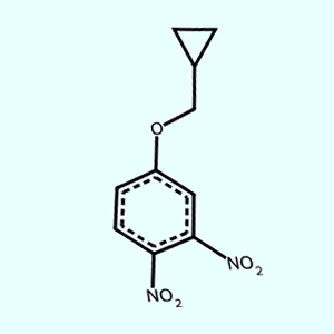 O=[N+]([O-])c1ccc(OCC2CC2)cc1[N+](=O)[O-]